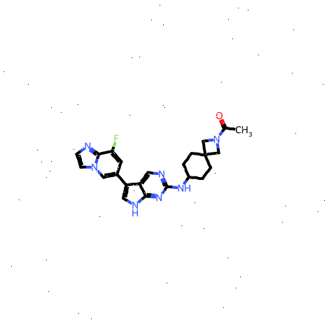 CC(=O)N1CC2(CCC(Nc3ncc4c(-c5cc(F)c6nccn6c5)c[nH]c4n3)CC2)C1